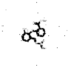 COC(=O)c1ccccc1Sc1c(C)cccc1C=N[S+]([O-])C(C)(C)C